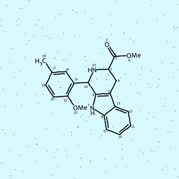 COC(=O)C1Cc2c([nH]c3ccccc23)C(c2cc(C)ccc2OC)N1